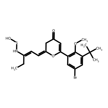 CC/C(=C\C=C1/CC(=O)C=C(c2cc(Br)cc(C(C)(C)C)c2OC)O1)NSO